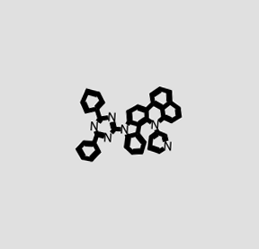 c1ccc(-c2nc(-c3ccccc3)nc(-n3c4ccccc4c4c5c(ccc43)-c3cccc4cccc(c34)N5c3cccnc3)n2)cc1